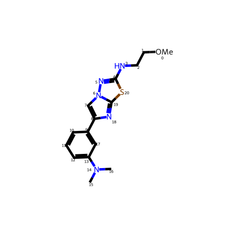 COCCNc1nn2cc(-c3cccc(N(C)C)c3)nc2s1